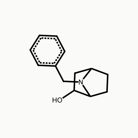 OC1CC2CCC1N2Cc1ccccc1